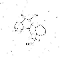 CC(C)(C)OC(=O)c1ccccc1C(=O)OC1(C(F)(F)C(=O)O)CCCCC1